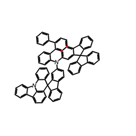 c1ccc(-c2ccccc2-c2ccccc2N(c2ccc3c(c2)C2(c4ccccc4-c4ccccc42)c2ccccc2-3)c2ccc3c(c2)C2(c4ccccc4-3)c3ccccc3-n3c4ccccc4c4cccc2c43)cc1